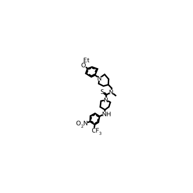 CCOc1ccc(N2CCC(CN(C)C(=S)N3CCC(Nc4ccc([N+](=O)[O-])c(C(F)(F)F)c4)CC3)CC2)cc1